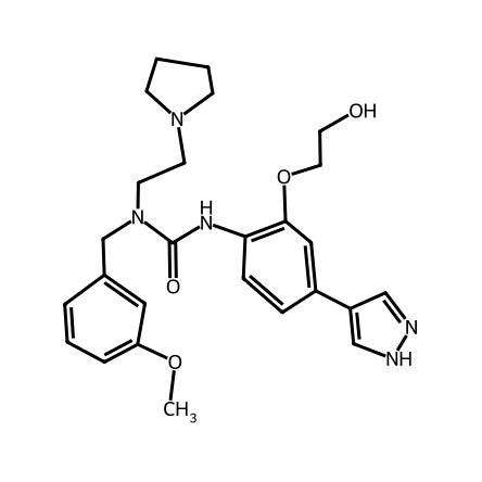 COc1cccc(CN(CCN2CCCC2)C(=O)Nc2ccc(-c3cn[nH]c3)cc2OCCO)c1